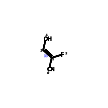 N#C/C(F)=C/O